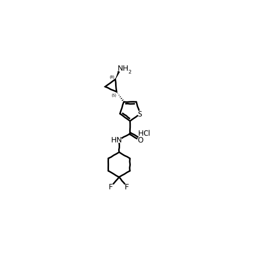 Cl.N[C@@H]1C[C@H]1c1csc(C(=O)NC2CCC(F)(F)CC2)c1